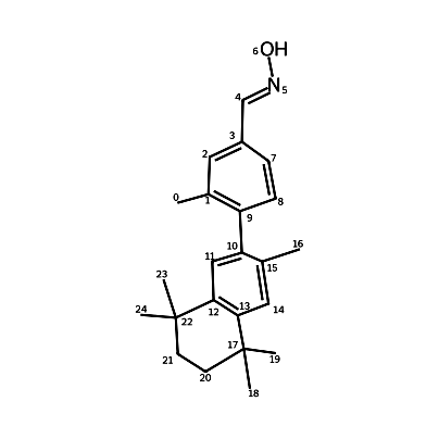 Cc1cc(C=NO)ccc1-c1cc2c(cc1C)C(C)(C)CCC2(C)C